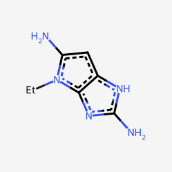 CCn1c(N)cc2[nH]c(N)nc21